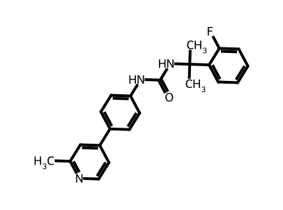 Cc1cc(-c2ccc(NC(=O)NC(C)(C)c3ccccc3F)cc2)ccn1